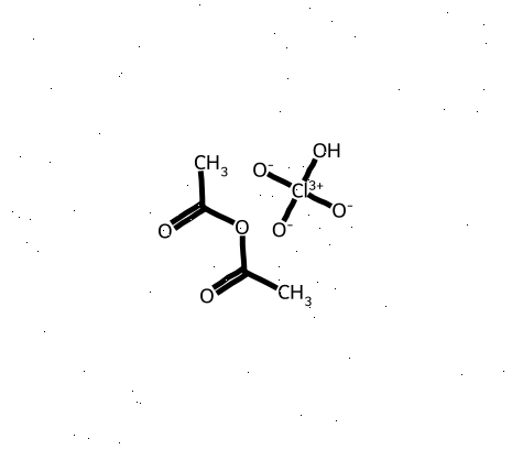 CC(=O)OC(C)=O.[O-][Cl+3]([O-])([O-])O